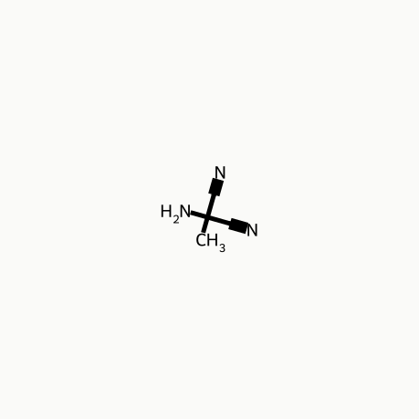 CC(N)(C#N)C#N